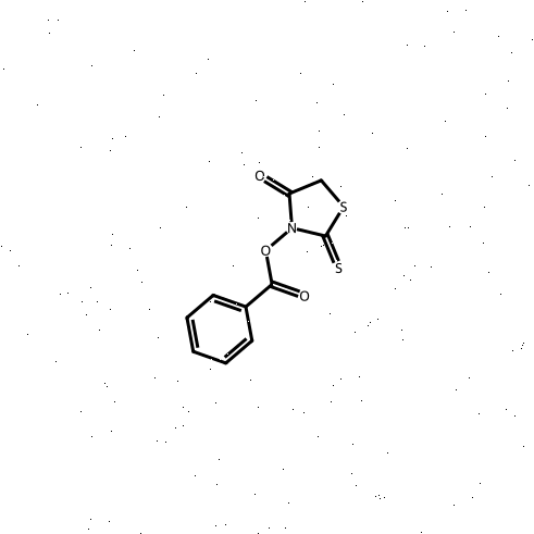 O=C(ON1C(=O)CSC1=S)c1ccccc1